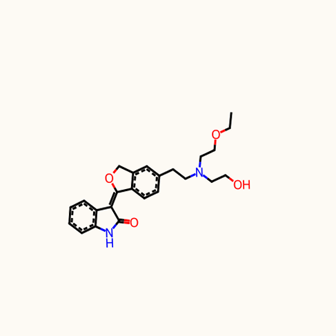 CCOCCN(CCO)CCc1ccc2c(c1)CO/C2=C1/C(=O)Nc2ccccc21